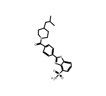 CC(C)CC1CCN(C(=O)c2ccc(-c3nc4c(S(N)(=O)=O)cccc4s3)cc2)CC1